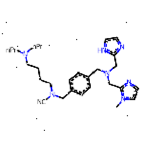 CCCN(CCC)CCCCN(C#N)Cc1ccc(CN(Cc2ncc[nH]2)Cc2nccn2C)cc1